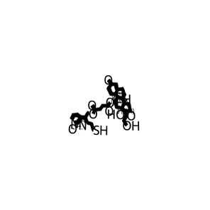 C[C@@H]1C[C@H]2[C@@H]3CCC4=CC(=O)C=C[C@]4(C)[C@@]3(F)[C@@H](OC(=O)CCC(=O)OCc3c(CCS)n(C)c4c3ccc[n+]4[O-])C[C@]2(C)[C@@]1(O)C(=O)CO